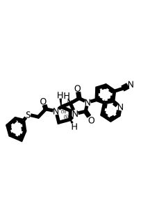 N#Cc1ccc(N2C(=O)[C@@H]3[C@@H]4C[C@@H](CN4C(=O)CSc4ccccc4)N3C2=O)c2cccnc12